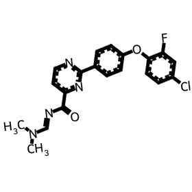 CN(C)C=NC(=O)c1ccnc(-c2ccc(Oc3ccc(Cl)cc3F)cc2)n1